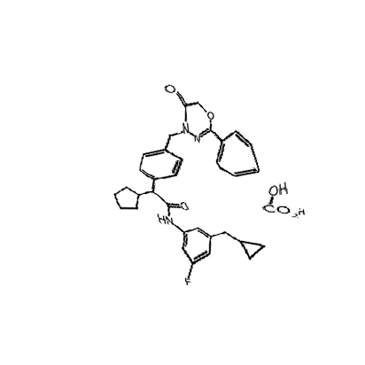 O=C(Nc1cc(F)cc(CC2CC2)c1)C(c1ccc(CN2N=C(c3ccccc3)OCC2=O)cc1)C1CCCC1.O=C(O)O